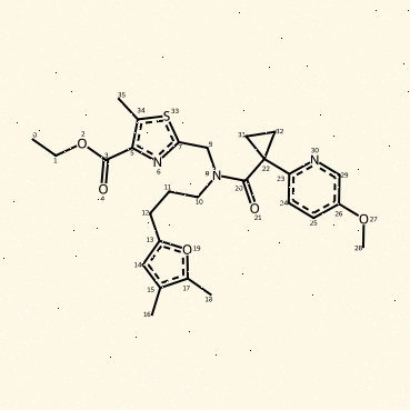 CCOC(=O)c1nc(CN(CCCc2cc(C)c(C)o2)C(=O)C2(c3ccc(OC)cn3)CC2)sc1C